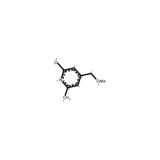 COCc1cc(C)nc(Cl)c1